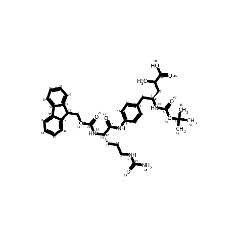 CC(C[C@H](Cc1ccc(NC(=O)[C@H](CCCNC(N)=O)NC(=O)OCC2c3ccccc3-c3ccccc32)cc1)NC(=O)OC(C)(C)C)C(=O)O